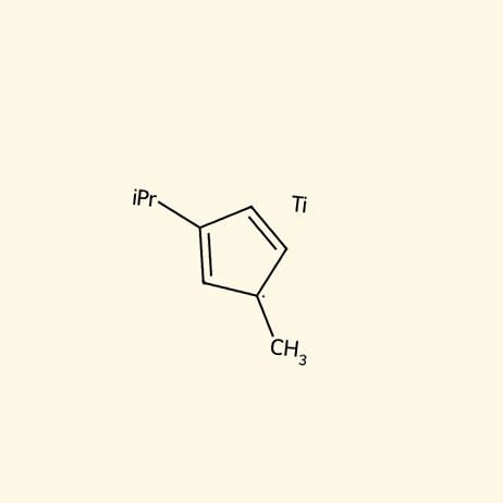 C[C]1C=CC(C(C)C)=C1.[Ti]